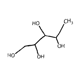 CC(O)C(O)C(O)CO